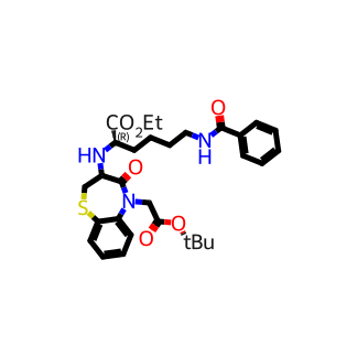 CCOC(=O)[C@@H](CCCCNC(=O)c1ccccc1)NC1CSc2ccccc2N(CC(=O)OC(C)(C)C)C1=O